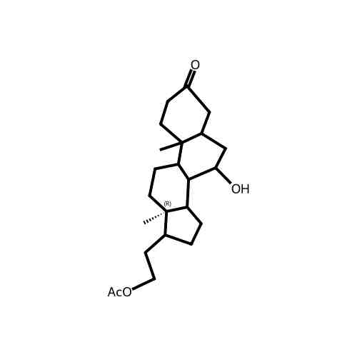 CC(=O)OCCC1CCC2C3C(O)CC4CC(=O)CCC4(C)C3CC[C@]12C